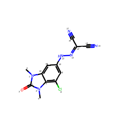 Cn1c(=O)n(C)c2c(Cl)cc(NN=C(C#N)C#N)cc21